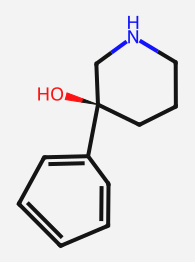 O[C@]1(c2ccccc2)CCCNC1